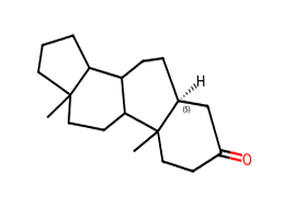 CC12CCCC1C1CC[C@H]3CC(=O)CCC3(C)C1CC2